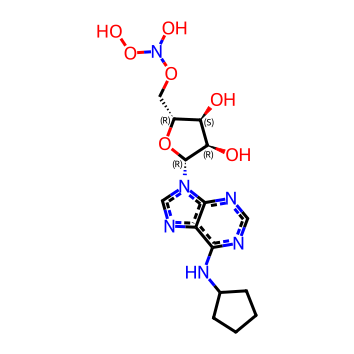 OON(O)OC[C@H]1O[C@@H](n2cnc3c(NC4CCCC4)ncnc32)[C@H](O)[C@@H]1O